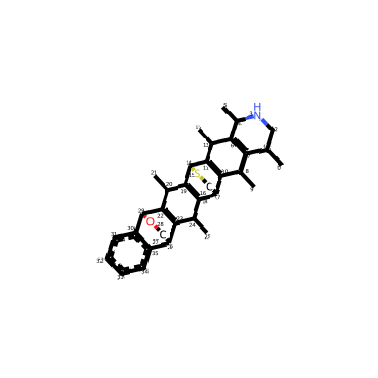 CC1CNC(C)C2=C1C(C)C1=C(C2C)C2SCC1C1=C2C(C)C2=C(C1C)C1COC2c2ccccc21